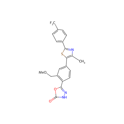 COCc1cc(-c2sc(-c3ccc(C(F)(F)F)cc3)nc2C)ccc1-c1n[nH]c(=O)o1